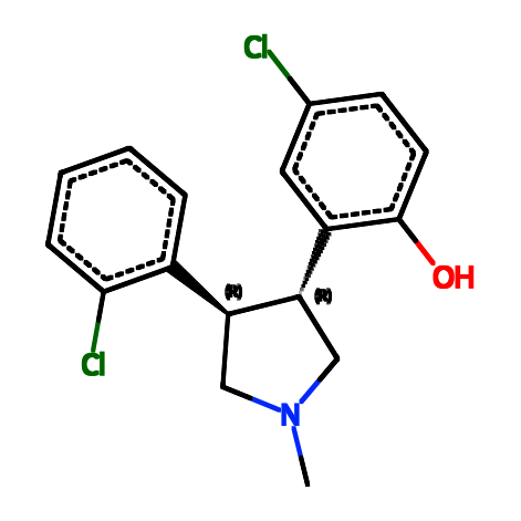 CN1C[C@@H](c2cc(Cl)ccc2O)[C@H](c2ccccc2Cl)C1